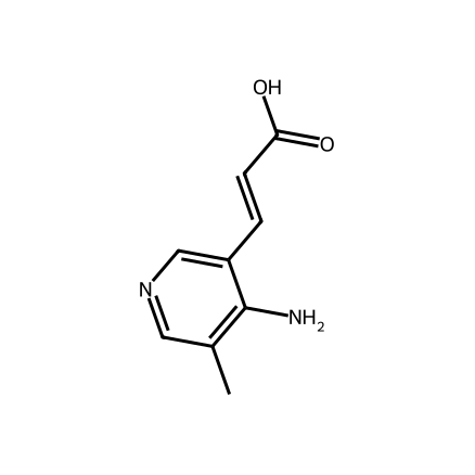 Cc1cncc(/C=C/C(=O)O)c1N